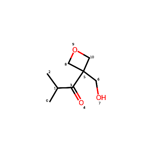 CC(C)C(=O)C1(CO)COC1